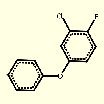 Fc1ccc(Oc2cc[c]cc2)cc1Cl